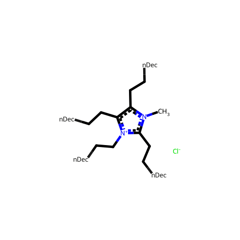 CCCCCCCCCCCCc1c(CCCCCCCCCCCC)[n+](CCCCCCCCCCCC)c(CCCCCCCCCCCC)n1C.[Cl-]